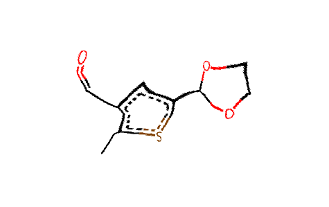 Cc1sc(C2OCCO2)cc1C=O